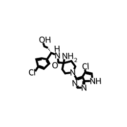 NC1(C(=O)N[C@@H](CCO)c2ccc(Cl)cc2)CCN(c2ncnc3[nH]cc(Cl)c23)CC1